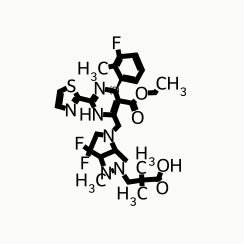 CCOC(=O)C1=C(CN2CC(F)(F)C3C2CN(CC(C)(C)C(=O)O)N3C)NC(c2nccs2)=N[C@H]1c1cccc(F)c1C